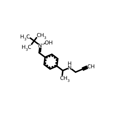 C#CCNC(C)c1ccc(/C=[N+](\O)C(C)(C)C)cc1